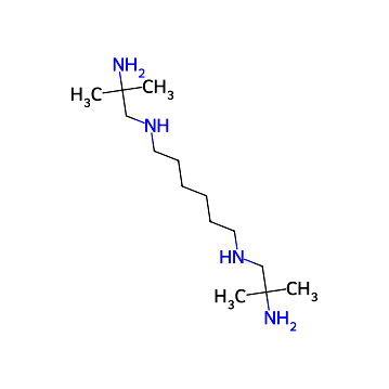 CC(C)(N)CNCCCCCCNCC(C)(C)N